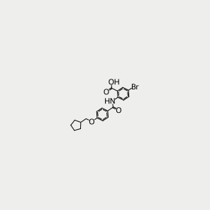 O=C(Nc1ccc(Br)cc1C(=O)O)c1ccc(OCC2CCCC2)cc1